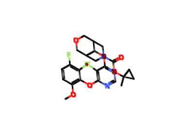 COc1ccc(F)c(F)c1Oc1ncnc(OC2C3COCC2CN(C(=O)OC2(C)CC2)C3)c1F